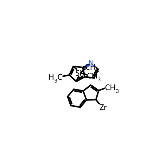 CC1=C2C3=NC=CC3=C1[Si]2(C)C.CC1=Cc2ccccc2[CH]1[Zr]